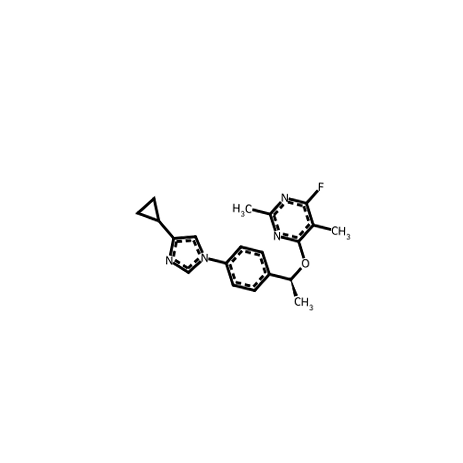 Cc1nc(F)c(C)c(O[C@@H](C)c2ccc(-n3cnc(C4CC4)c3)cc2)n1